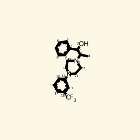 CC(C(O)c1ccccc1)N1CCN(c2cccc(C(F)(F)F)c2)CC1